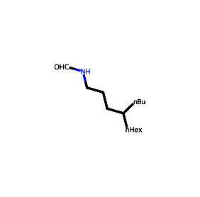 CCCCCCC(CCCC)CCCNC=O